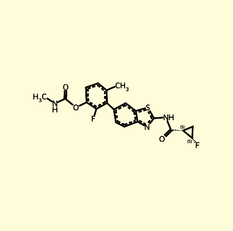 CNC(=O)Oc1ccc(C)c(-c2ccc3nc(NC(=O)[C@@H]4C[C@@H]4F)sc3c2)c1F